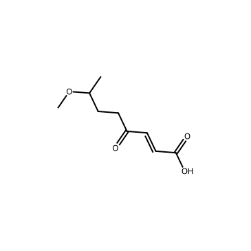 COC(C)CCC(=O)C=CC(=O)O